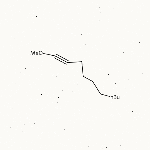 CCCCCCCCC#COC